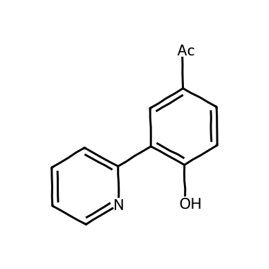 CC(=O)c1ccc(O)c(-c2ccccn2)c1